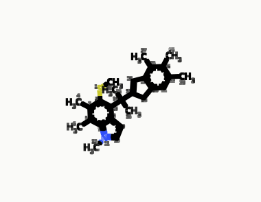 CSc1c(C)c(C)c2c(ccn2C)c1C(C)(C)C1=Cc2c(cc(C)c(C)c2C)C1